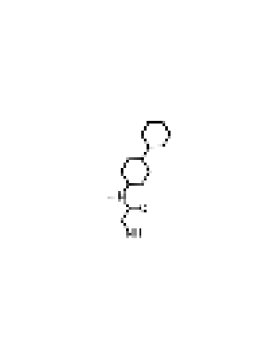 CN(C(=O)C[NH])C1CCC(C2CCCCC2)CC1